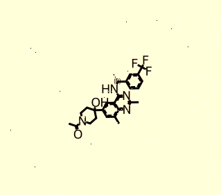 CC(=O)N1CCC(O)(c2cc(C)c3nc(C)nc(N[C@H](C)c4cccc(C(F)(F)F)c4)c3c2)CC1